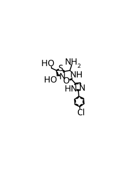 NCC(NC(=O)c1cnc(-c2ccc(Cl)cc2)[nH]1)c1nc(O)c(CO)s1